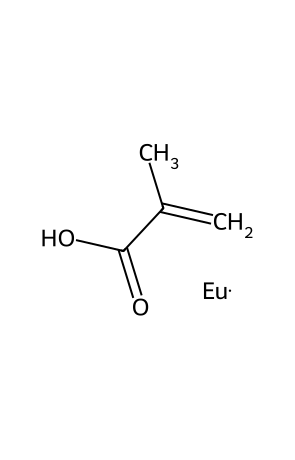 C=C(C)C(=O)O.[Eu]